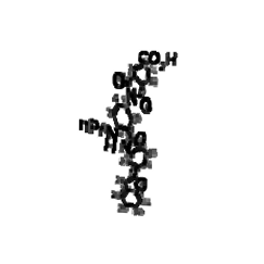 CCCNc1ccc(N2C(=O)c3ccc(C(=O)O)cc3C2=O)cc1-c1nc2cc(-c3cc4ccccc4o3)ccc2o1